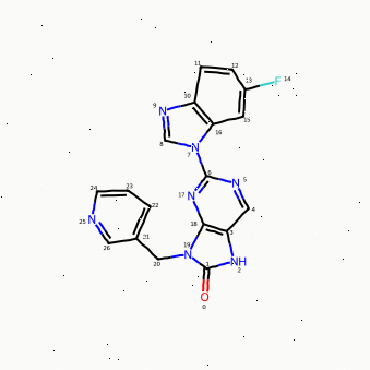 O=c1[nH]c2cnc(-n3cnc4ccc(F)cc43)nc2n1Cc1cccnc1